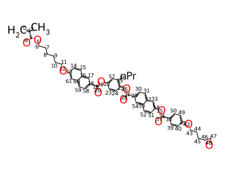 C=C(C)C(=O)OCCCCCCOc1ccc2cc(C(=O)Oc3ccc(OC(=O)c4ccc5cc(OC(=O)c6ccc(OCCCC7CO7)cc6)ccc5c4)c(CCC)c3)ccc2c1